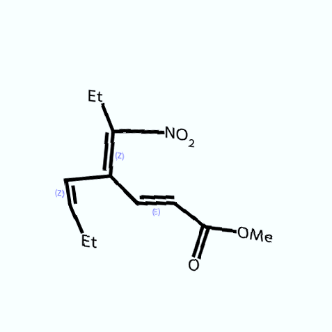 CC\C=C/C(/C=C/C(=O)OC)=C(\CC)[N+](=O)[O-]